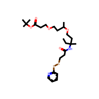 CCC(C)(CCOC(C)CCOCCC(=O)OC(C)(C)C)NC(=O)CCSSc1ccccn1